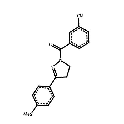 CSc1ccc(C2=NN(C(=O)c3cccc(C#N)c3)CC2)cc1